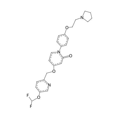 O=c1cc(OCc2ccc(OC(F)F)cn2)ccn1-c1ccc(OCCN2CCCC2)cc1